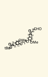 COc1cc2c(cc1OCCCOc1cc3c(cc1OC)CN(C(=O)OC(C)(C)C)C3)CN(C(=O)CCC=O)C2